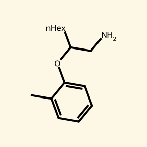 CCCCCCC(CN)Oc1ccccc1C